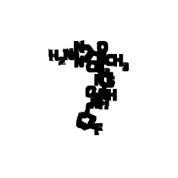 Cc1nc(N)ncc1C(=O)N(C)Cc1csc(NC(=O)NCc2cccc(F)c2)n1